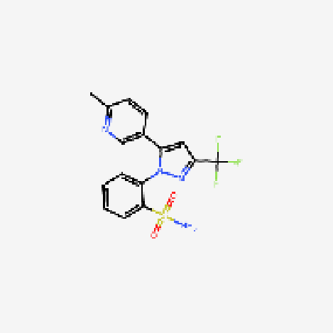 Cc1ccc(-c2cc(C(F)(F)F)nn2-c2ccccc2S(N)(=O)=O)cn1